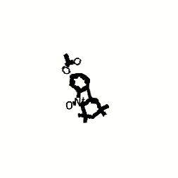 CC(=O)Oc1ccc2c(c1)[N+]([O-])=C1C2=CC(C)(C)CC1(C)C